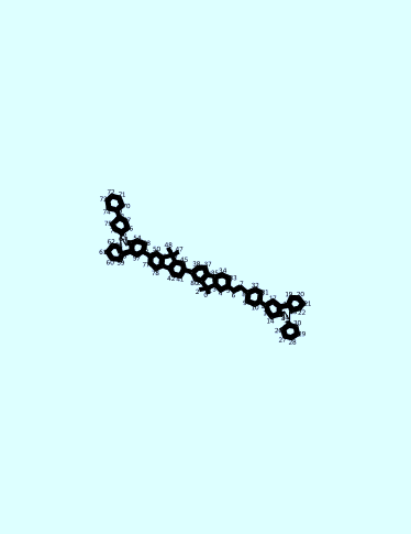 CC1(C)c2cc(/C=C/c3ccc(-c4ccc5c(c4)c4ccccc4n5-c4ccccc4)cc3)ccc2-c2ccc(-c3ccc4c(c3)C(C)(C)c3cc(-c5ccc6c(c5)c5ccccc5n6-c5ccc(-c6ccccc6)cc5)ccc3-4)cc21